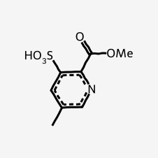 COC(=O)c1ncc(C)cc1S(=O)(=O)O